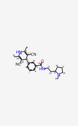 CC1=C(C#N)C(c2cccc(C(=O)NCCC3CCCN3C)c2)C(C#N)=C(C)N1